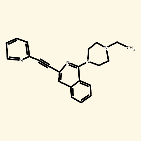 CCN1CCN(c2nc(C#Cc3ccccn3)cc3ccccc23)CC1